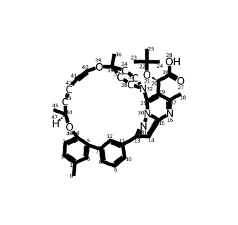 Cc1ccc2c(c1)-c1cccc(c1)-c1cc3nc(C)c([C@H](OC(C)(C)C)C(=O)O)c(n3n1)N1CCC(C)(CC1)O/C=C\CC[C@H](C)O2